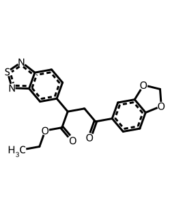 CCOC(=O)C(CC(=O)c1ccc2c(c1)OCO2)c1ccc2nsnc2c1